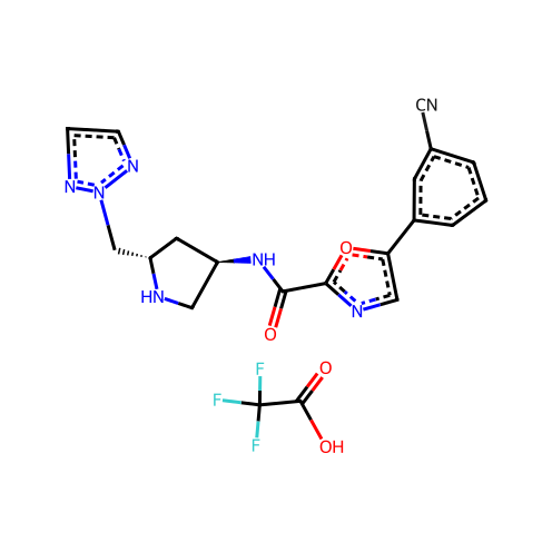 N#Cc1cccc(-c2cnc(C(=O)N[C@H]3CN[C@H](Cn4nccn4)C3)o2)c1.O=C(O)C(F)(F)F